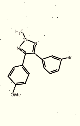 COc1ccc(-c2nn(C)nc2-c2cccc(Br)c2)cc1